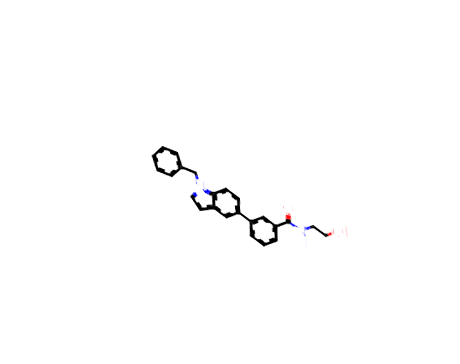 O=C(NCCO)c1cccc(-c2ccc3c(ccn3Cc3ccccc3)c2)c1